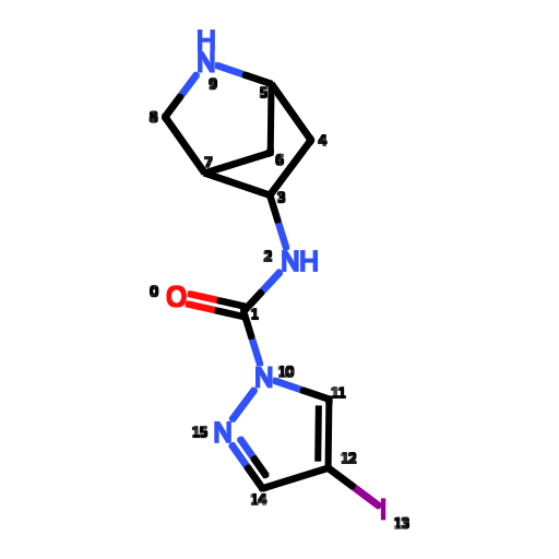 O=C(NC1CC2CC1CN2)n1cc(I)cn1